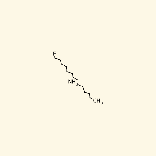 CCCCCCCCCCCCCCF.N